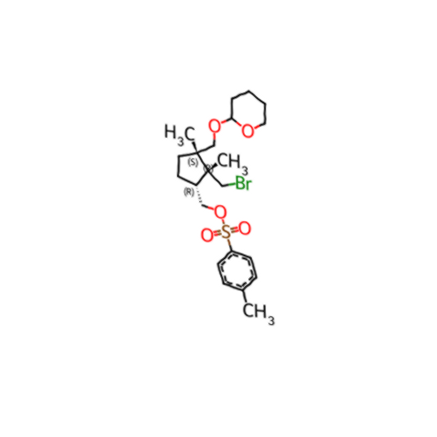 Cc1ccc(S(=O)(=O)OC[C@@H]2CC[C@](C)(COC3CCCCO3)[C@]2(C)CBr)cc1